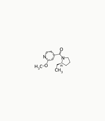 CC[C@@H]1CCCN1C(=O)c1ccnc(OC)c1